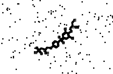 CCS(=O)(=O)C[C@H](O)COc1ccc(S(=O)(=O)c2cc(Cl)c(OC[C@@H](O)CCl)c(Cl)c2)cc1